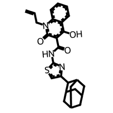 C=CCn1c(=O)c(C(=O)Nc2nc(C3C4CC5CC(C4)CC3C5)cs2)c(O)c2ccccc21